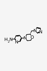 Nc1ccc(N2CCO[C@H](Cn3ccnc3)C2)cn1